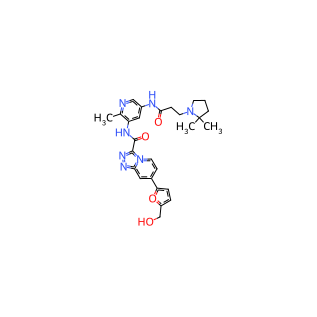 Cc1ncc(NC(=O)CCN2CCCC2(C)C)cc1NC(=O)c1nnc2cc(-c3ccc(CO)o3)ccn12